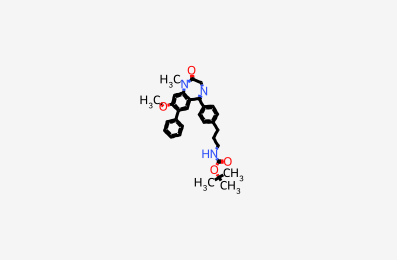 COc1cc2c(cc1-c1ccccc1)C(c1ccc(CCCNC(=O)OC(C)(C)C)cc1)=NCC(=O)N2C